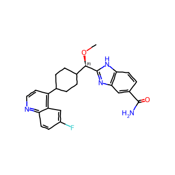 CO[C@@H](c1nc2cc(C(N)=O)ccc2[nH]1)C1CCC(c2ccnc3ccc(F)cc23)CC1